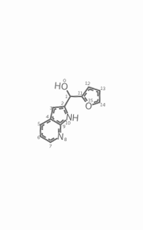 OC(c1cc2cccnc2[nH]1)c1ccco1